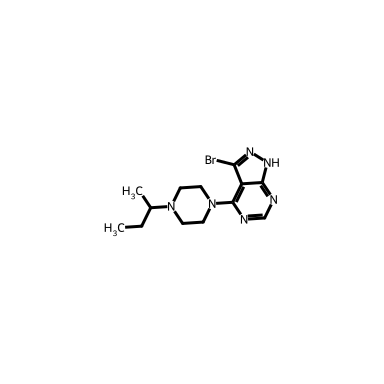 CCC(C)N1CCN(c2ncnc3[nH]nc(Br)c23)CC1